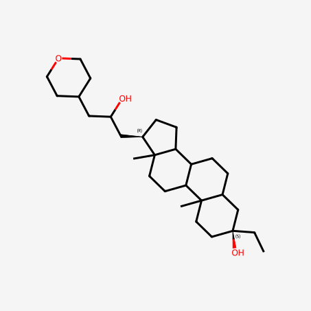 CC[C@]1(O)CCC2(C)C(CCC3C2CCC2(C)C3CC[C@@H]2CC(O)CC2CCOCC2)C1